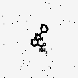 NC(=O)c1c[c]cn2nc(-c3ccccc3)nc12